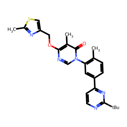 Cc1nc(COc2ncn(-c3cc(-c4ccnc(C(C)(C)C)n4)ccc3C)c(=O)c2C)cs1